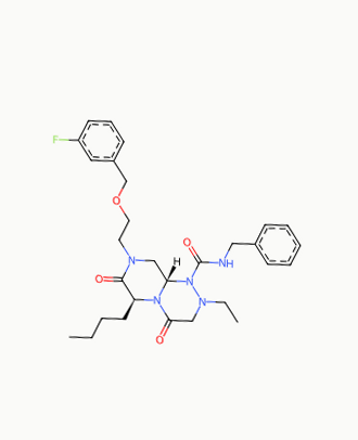 CCCC[C@H]1C(=O)N(CCOCc2cccc(F)c2)C[C@H]2N1C(=O)CN(CC)N2C(=O)NCc1ccccc1